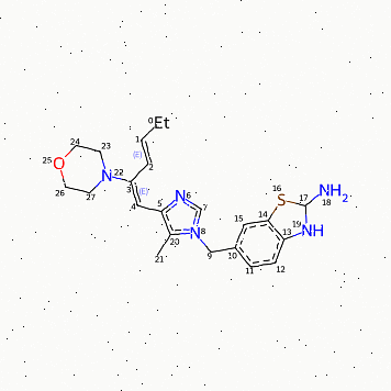 CC/C=C/C(=C\c1ncn(Cc2ccc3c(c2)SC(N)N3)c1C)N1CCOCC1